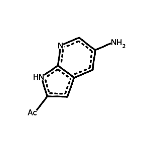 CC(=O)c1cc2cc(N)cnc2[nH]1